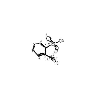 N#[N+]c1ccccc1S(=O)(=O)[O-]